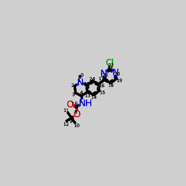 CN1CCC(NC(=O)OC(C)(C)C)c2ccc(-c3ccnc(Cl)n3)cc21